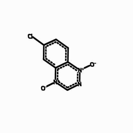 [O-][n+]1cn[n+]([O-])c2ccc(Cl)cc21